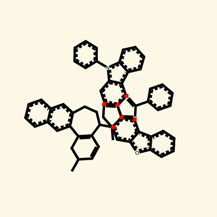 CC1C=CC2=C(C1)c1cc3ccccc3cc1CCC2c1cc2oc3ccccc3c2cc1C1=C\CC(C)/C(c2ccc3c(c2)c2ccccc2n3-c2ccccc2)=N/C(c2ccccc2)=N\1